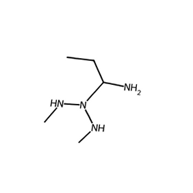 CCC(N)N(NC)NC